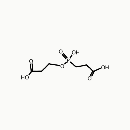 O=C(O)CCOP(=O)(O)CCC(=O)O